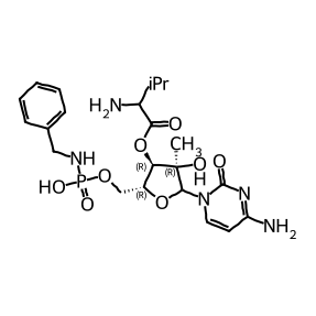 CC(C)C(N)C(=O)O[C@@H]1[C@@H](COP(=O)(O)NCc2ccccc2)OC(n2ccc(N)nc2=O)[C@]1(C)O